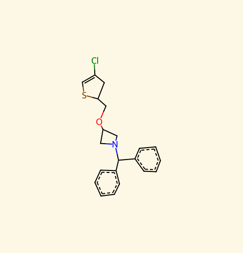 ClC1=CSC(COC2CN(C(c3ccccc3)c3ccccc3)C2)C1